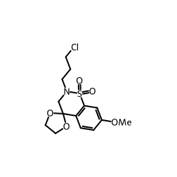 COc1ccc2c(c1)S(=O)(=O)N(CCCCl)CC21OCCO1